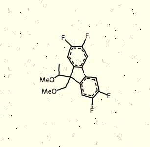 COCC1(C(C)OC)c2cc(F)c(F)cc2-c2cc(F)c(F)cc21